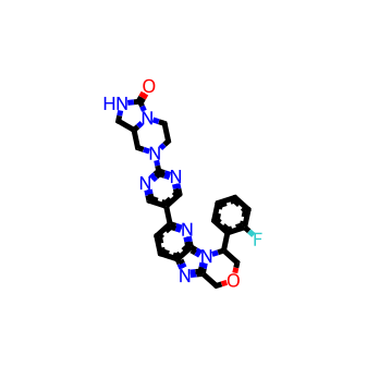 O=C1NCC2CN(c3ncc(-c4ccc5nc6n(c5n4)C(c4ccccc4F)COC6)cn3)CCN12